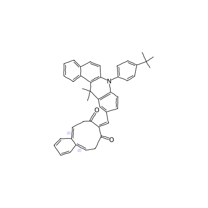 CC(C)(C)c1ccc(N2c3ccc(C=C4C(=O)C/C=c5/cccc/c5=C/CC4=O)cc3C(C)(C)c3c2ccc2ccccc32)cc1